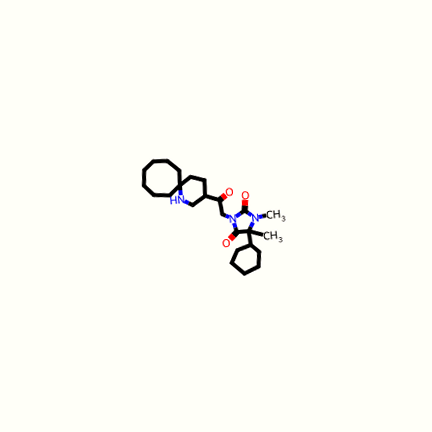 CN1C(=O)N(CC(=O)C2CCC3(CCCCCCC3)NC2)C(=O)C1(C)C1CCCCC1